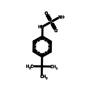 CC(C)(C)c1ccc(NS([NH])(=O)=O)cc1